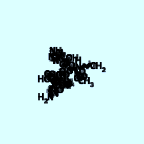 C=CCCC(=O)NC(CCS(C)(=O)=O)C(=O)O[C@H]1[C@@H](O)[C@H](n2cnc3c(N)ncnc32)O[C@H]1COP(=O)(O)O[C@H]1[C@@H](O[C@@H]2CCCO2)[C@H](n2ccc(N)nc2=O)O[C@@H]1COP(=O)(O)O